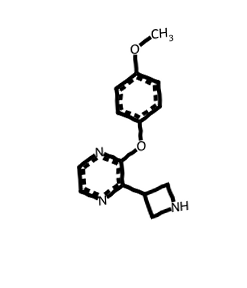 COc1ccc(Oc2nccnc2C2CNC2)cc1